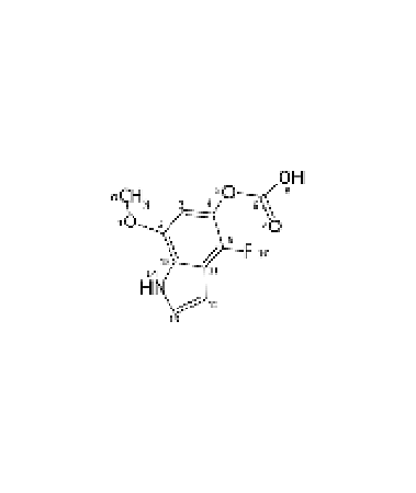 COc1cc(OC(=O)O)c(F)c2cc[nH]c12